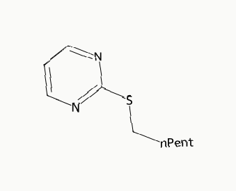 CCCCCCSc1ncccn1